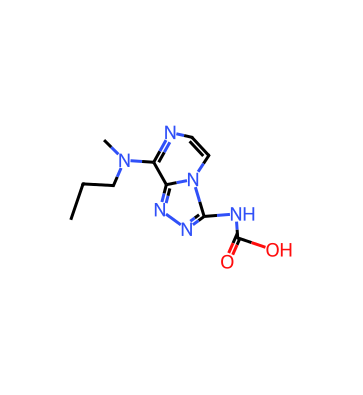 CCCN(C)c1nccn2c(NC(=O)O)nnc12